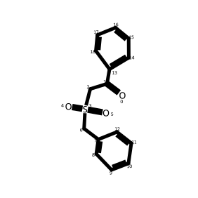 O=C(CS(=O)(=O)Cc1ccccc1)c1ccccc1